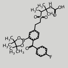 CC(C(C)(C)NC(=O)O)S(=O)(=O)CCc1ccc(C(=O)c2ccc(F)cc2)c(B2OC(C)(C)C(C)(C)O2)c1